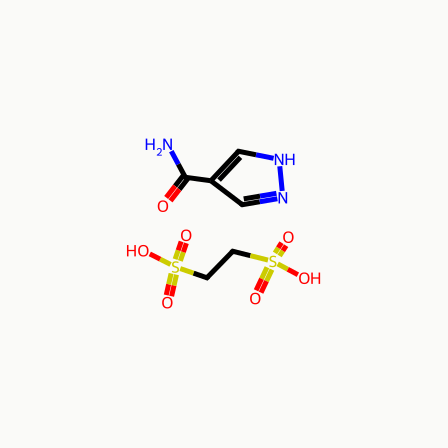 NC(=O)c1cn[nH]c1.O=S(=O)(O)CCS(=O)(=O)O